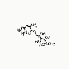 CC(=Cc1c[nH]nn1)C(=O)OC[C@@H](O)[C@@H](O)[C@H](O)[C@@H](O)C=O